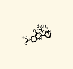 CC(C)(C)n1c(-c2cccnc2)nc2c(c1=O)CN(C(=O)O)CC2